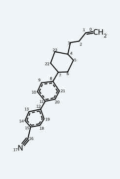 C=CCCC1CCC(c2ccc(-c3ccc(C#N)cc3)cc2)CC1